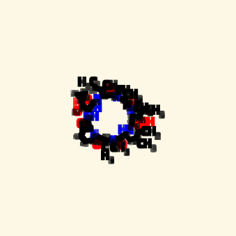 C=C[C@H](C)C[C@@H]1NC(=O)[C@H]([C@H](O)C(C)C)N(C)C(=O)[C@H](C)N(C)C(=O)[C@@H]([C@@H](C)CC)NC(=O)[C@@H]([C@H](O)C2CC2)NC(=O)[C@H]2CCCCN2C(=O)[C@H](C)N(C)C1=O